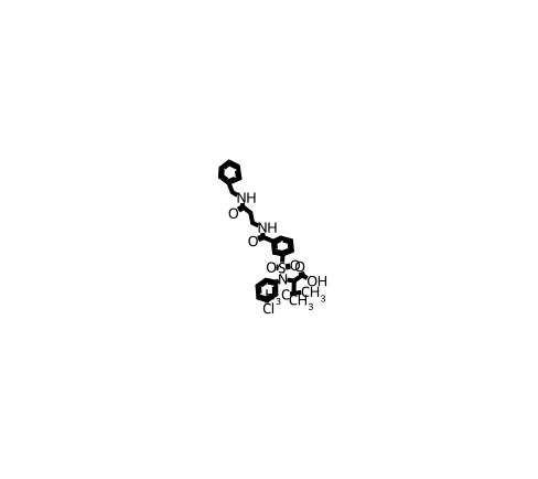 CC(C)(C)C(C(=O)O)N(c1cccc(Cl)c1)S(=O)(=O)c1cccc(C(=O)NCCC(=O)NCc2ccccc2)c1